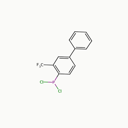 FC(F)(F)c1cc(-c2ccccc2)ccc1P(Cl)Cl